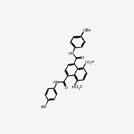 CCCCc1ccc(NC(=O)c2ccc(C(=O)Nc3ccc(C(C)(C)C)cc3)c3c(C(=O)O)ccc(C(=O)O)c23)cc1